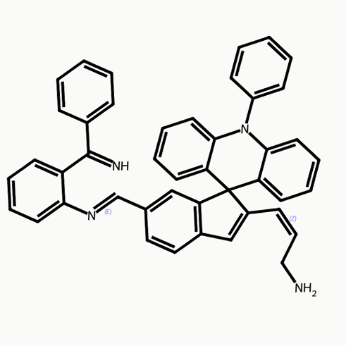 N=C(c1ccccc1)c1ccccc1/N=C/c1ccc2c(c1)C1(C(/C=C\CN)=C2)c2ccccc2N(c2ccccc2)c2ccccc21